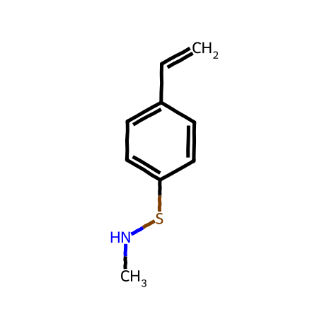 C=Cc1ccc(SNC)cc1